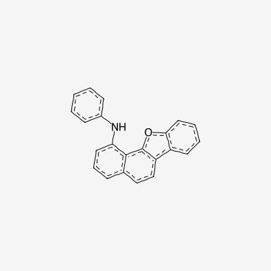 c1ccc(Nc2cccc3ccc4c5ccccc5oc4c23)cc1